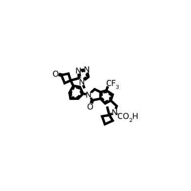 Cn1cnnc1C1(c2cccc(N3Cc4c(cc(CN(C(=O)O)C5(C)CCC5)cc4C(F)(F)F)C3=O)c2)CC(=O)C1